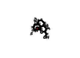 C[C@@H]1CC[C@H]2[C@@H](C)C(CO)O[C@@H]3O[C@]4(C)CC[C@@H]1[C@]32OO4